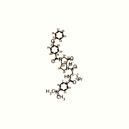 CC(C)C[C@H](NC(=O)c1ccc(N(C)C)cc1)C(=O)N1CCC2[C@H]1C(=O)CN2C(=O)c1ccc(Oc2ccccc2)cc1